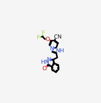 N#CC1=CC2NC(Cc3n[nH]c(=O)c4ccccc34)=CN2C=C1OCC(F)F